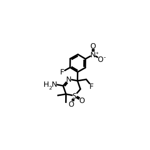 CC1(C)C(N)=NC(CF)(c2cc([N+](=O)[O-])ccc2F)CS1(=O)=O